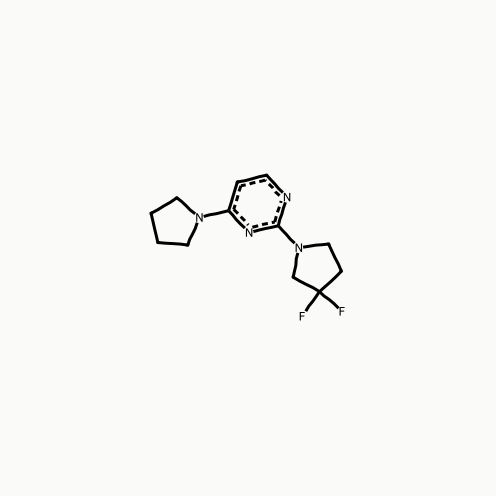 FC1(F)CCN(c2nccc(N3CCCC3)n2)C1